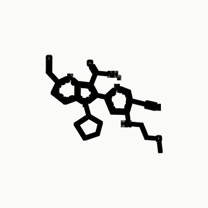 COCCNc1cc(-c2c(C(N)=O)c3nc(C=O)ccc3n2C2CCCC2)ncc1C#N